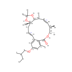 CCC(C)COc1cc(C)c2c(c1)/C=C/C[C@@H]1OC(C)(C)OC1C(C)/C=C\[C@@H](C)[C@H](C)OC2=O